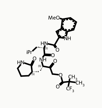 COc1cccc2[nH]c(C(=O)N[C@@H](CC(C)C)C(=O)N[C@@H](C[C@@H]3CCCNC3=O)C(=O)COC(=O)C(C)(C)C(F)(F)F)cc12